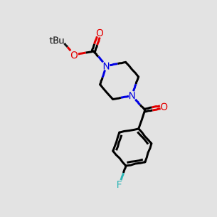 CC(C)(C)OC(=O)N1CCN(C(=O)c2ccc(F)cc2)CC1